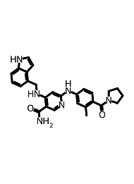 Cc1cc(Nc2cc(NCc3cccc4[nH]ccc34)c(C(N)=O)cn2)ccc1C(=O)N1CCCC1